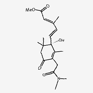 COC(=O)C=C(C)C=C[C@@]1(O)C(C)=C(CC(=O)N(C)C)C(=O)CC1(C)C